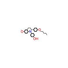 CCCCCOc1ccc(C2CCc3cc(OC)ccc3N2c2ccc(O)cc2)cc1